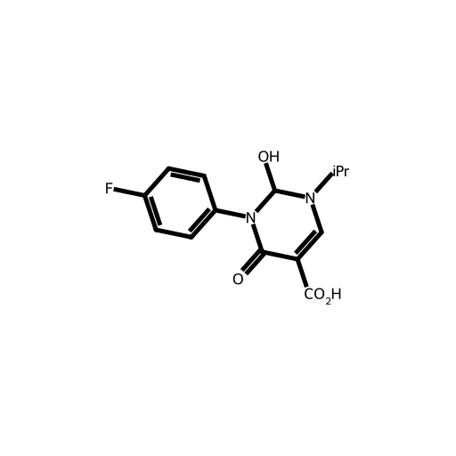 CC(C)N1C=C(C(=O)O)C(=O)N(c2ccc(F)cc2)C1O